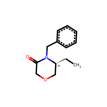 CC[C@@H]1COCC(=O)N1Cc1ccccc1